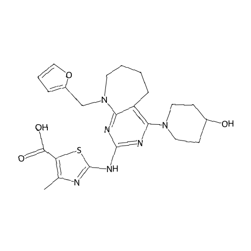 Cc1nc(Nc2nc(N3CCC(O)CC3)c3c(n2)N(Cc2ccco2)CCCC3)sc1C(=O)O